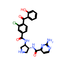 Nc1nccc(C(=O)N[C@@H]2CNCC2NC(=O)c2ccc(C(=O)c3ccccc3O)c(Cl)c2)n1